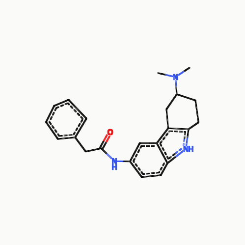 CN(C)C1CCc2[nH]c3ccc(NC(=O)Cc4ccccc4)cc3c2C1